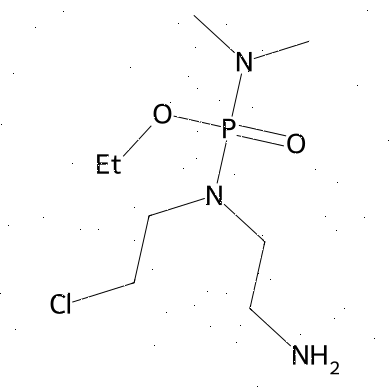 CCOP(=O)(N(C)C)N(CCN)CCCl